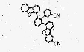 N#Cc1cccc(-c2c(-c3cccc4c3oc3ccccc34)cccc2-c2cccc3c2oc2ccc(C#N)cc23)c1